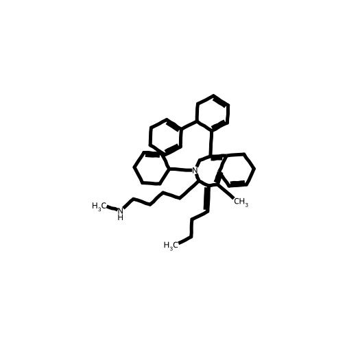 CCC/C=C1/C(C)=C2\C=CCC\C2=C(/C2=CC=CCC2C2=CCCC=C2)CN(C2C=CCCC2)C1CCCCNC